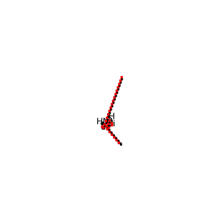 CCCCCCCCCCCCCCCCCCCCCCCCCC(=O)N[C@H](C(O[SiH](C)C)C(C)(C)C)[C@@H]([C@@H](CCCCCCCCCCCCCC)C(C)(C)C)C(C)(C)C